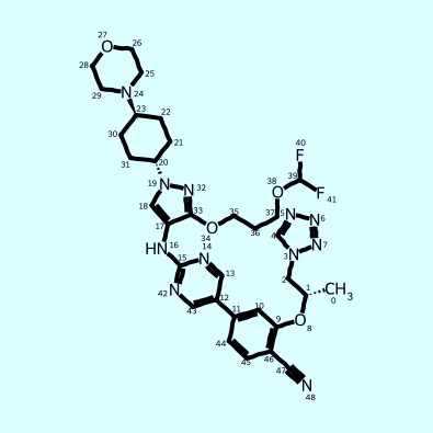 C[C@@H](Cn1cnnn1)Oc1cc(-c2cnc(Nc3cn([C@H]4CC[C@H](N5CCOCC5)CC4)nc3OCCCOC(F)F)nc2)ccc1C#N